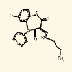 CCCCN/C=C1/C(=O)Nc2ccc(Cl)cc2N(c2ccccc2)C1=O